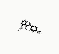 CCSc1cccnc1C(=O)Nc1ccc(C(F)(F)F)cc1